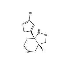 Brc1csc([C@]23CCOC[C@H]2CON3)c1